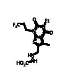 CCn1c(=O)c2c(C)c(CNNC(=O)O)sc2n(CCC(F)(F)F)c1=O